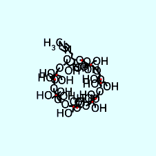 CN1CCN(CC2OC3OC4C(CO)OC(OC5C(CO)OC(OC6C(CO)OC(OC7C(CO)OC(OC8C(CO)OC(OC9C(CO)OC(OC2C(O)C3O)C(O)C9O)C(O)C8O)C(O)C7O)C(O)C6O)C(O)C5O)C(O)C4O)CC1